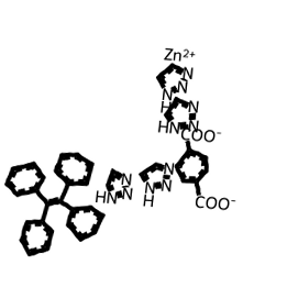 O=C([O-])c1ccc(C(=O)[O-])cc1.[Zn+2].c1c[nH]nn1.c1c[nH]nn1.c1c[nH]nn1.c1c[nH]nn1.c1ccc(C(=C(c2ccccc2)c2ccccc2)c2ccccc2)cc1